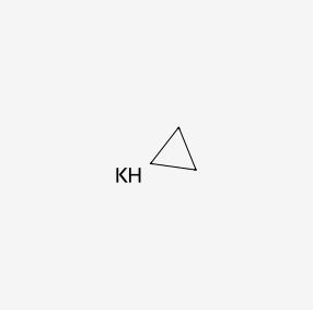 C1CC1.[KH]